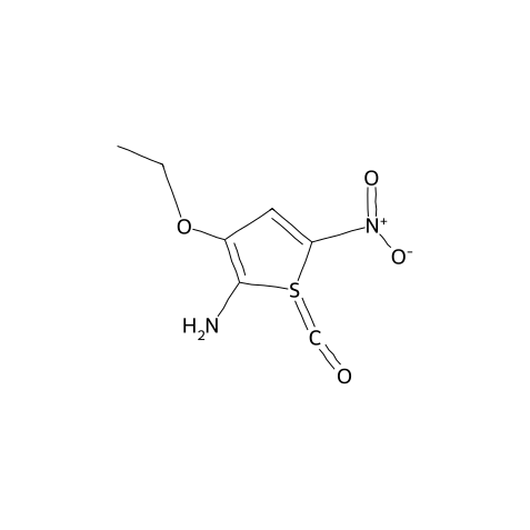 CCOC1=C(N)S(=C=O)C([N+](=O)[O-])=C1